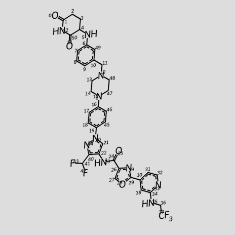 O=C1CCC(Nc2cccc(CN3CCN(c4ccc(-n5cc(NC(=O)c6coc(-c7ccnc(NCC(F)(F)F)c7)n6)c(C(F)F)n5)cc4)CC3)c2)C(=O)N1